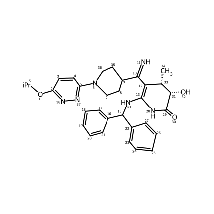 CC(C)Oc1ccc(N2CCC(C(=N)C3=C(NC(c4ccccc4)c4ccccc4)NC(=O)[C@@H](O)[C@H]3C)CC2)nn1